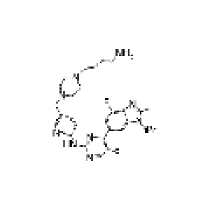 Cc1nc2c(F)cc(-c3nc(Nc4ccc(CN5CCN(CCCCN)CC5)cn4)ncc3F)cc2n1C(C)C